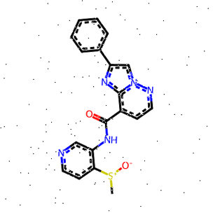 C[S+]([O-])c1ccncc1NC(=O)c1ccnn2cc(-c3ccccc3)nc12